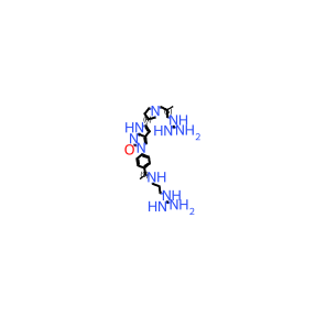 C[C@@H](CNC(=N)N)CN1CC[C@@H](c2cc3cn(-c4ccc([C@H](C)NCCCNC(=N)N)cc4)c(=O)nc3[nH]2)C1